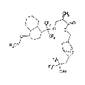 C=COC1CCC(C(OCC(=C)C(=O)OCC2CC3CC2CC3CC(OC(C)=O)(C(F)(F)F)C(F)(F)F)(C(F)(F)F)C(F)(F)F)C2CCCCC12